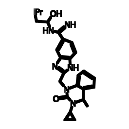 CC(C)CC(O)NC(=N)c1ccc2[nH]c(CN3C(=O)N(C4CC4)C(C)c4ccccc43)nc2c1